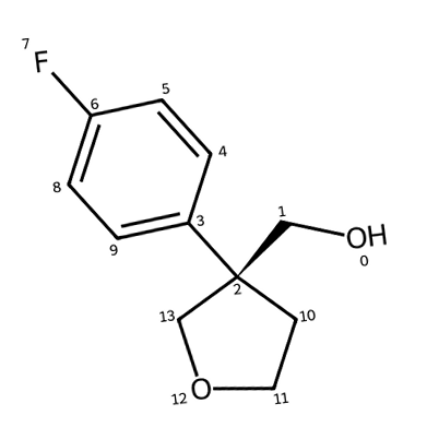 OC[C@@]1(c2ccc(F)cc2)CCOC1